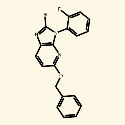 Fc1ccccc1-n1c(Br)nc2ccc(OCc3ccccc3)nc21